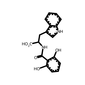 O=C(NC(Cc1c[nH]c2ccccc12)C(=O)O)c1c(O)cccc1O